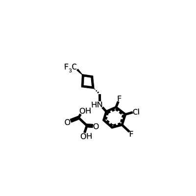 Fc1ccc(NC[C@H]2C[C@H](C(F)(F)F)C2)c(F)c1Cl.O=C(O)C(=O)O